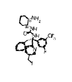 N[C@H]1CCCC[C@H]1NC(=O)N[C@@](Cc1ccccc1)(c1cc(F)cc(C(F)(F)F)c1)c1ccc(CI)cn1